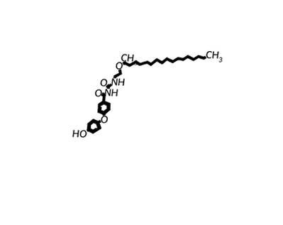 CCCCCCCCCCCCCCCCC(C)OCCNC(=O)NC(=O)c1ccc(Oc2ccc(O)cc2)cc1